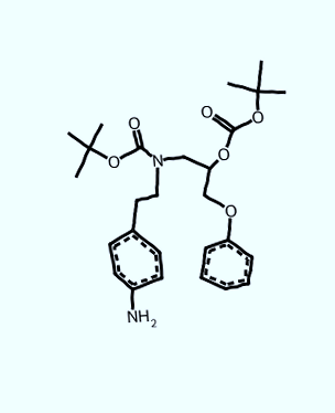 CC(C)(C)OC(=O)OC(COc1ccccc1)CN(CCc1ccc(N)cc1)C(=O)OC(C)(C)C